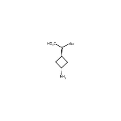 CC(C)(C)N(C(=O)O)[C@H]1C[C@H](N)C1